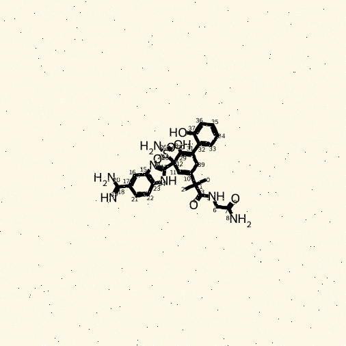 CC(C)(C(=O)NCC(N)=O)C1=CC(c2nc3cc(C(=N)N)ccc3[nH]2)(S(N)(=O)=O)C(O)=C(c2ccccc2O)C1